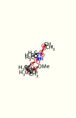 C=C(C)C(=O)OCCOC(=O)NCC1(C)CC(NC(=O)OCCOCCC[Si](C)(C)C[Si](C)(C)O[Si](C)(C)CCCOCCOC)CC(C)(C)C1